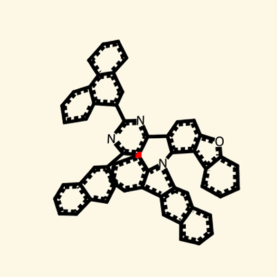 c1ccc2cc(-c3cc(-c4ccc5oc6ccccc6c5c4-n4c5ccccc5c5cc6ccccc6cc54)nc(-c4cc5ccccc5c5ccccc45)n3)ccc2c1